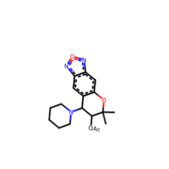 CC(=O)OC1C(N2CCCCC2)c2cc3nonc3cc2OC1(C)C